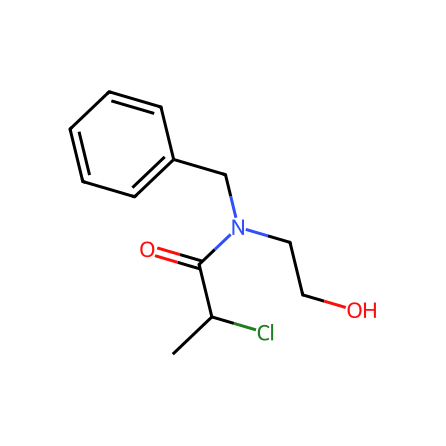 CC(Cl)C(=O)N(CCO)Cc1ccccc1